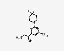 Cc1cc(C(O)CN)nc(N2CCC(F)(F)CC2)n1